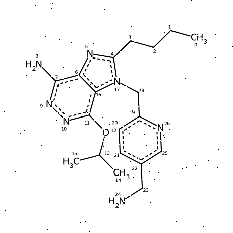 CCCCc1nc2c(N)nnc(OC(C)C)c2n1Cc1ccc(CN)cn1